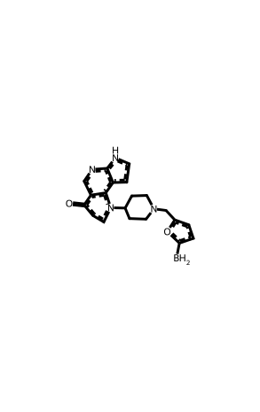 Bc1ccc(CN2CCC(n3ccc(=O)c4cnc5[nH]ccc5c43)CC2)o1